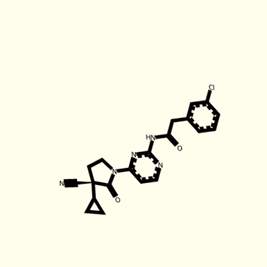 N#C[C@@]1(C2CC2)CCN(c2ccnc(NC(=O)Cc3cccc(Cl)c3)n2)C1=O